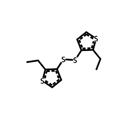 CCc1sccc1SSc1ccsc1CC